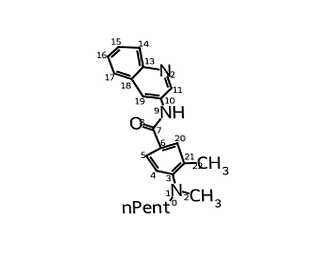 CCCCCN(C)c1ccc(C(=O)Nc2cnc3ccccc3c2)cc1C